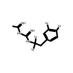 [2H]c1ccc(CC([2H])([2H])NC(=N)NC(C)=N)cc1[2H]